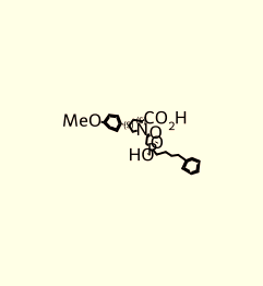 COc1ccc([C@@H]2C[C@@H](C(=O)O)N(C(=O)CP(=O)(O)CCCCc3ccccc3)C2)cc1